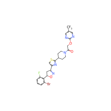 O=C(COc1ncc(C(F)(F)F)cn1)N1CCC(c2nc(C3=NOC(c4c(F)cccc4Br)C3)cs2)CC1